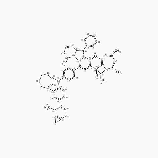 CC1=CC2=C3C(C(C)=C1)[C@H](C)[C@@H]3c1cc(-c3ccc(N4C5=CCCCC(=C5)c5cc(-c6ccc7c(c6C)C7)ccc54)cc3)c3c(c1O2)N(c1ccccc1)C1C=CCC(C)C31